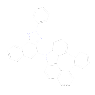 c1ccc(-n2nc3c(-n4c5cccc6c5c5c7c(cccc7ccc54)-c4ccccc4-6)cc4ccccc4c3n2)cc1